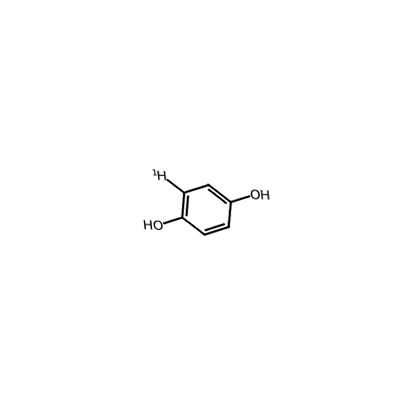 [1H]c1cc(O)ccc1O